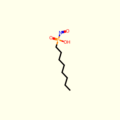 CCCCCCCCP(=O)(O)N=O